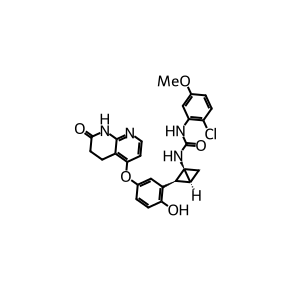 COc1ccc(Cl)c(NC(=O)N[C@@]23C[C@H]2[C@H]3c2cc(Oc3ccnc4c3CCC(=O)N4)ccc2O)c1